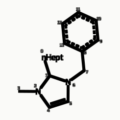 CCCCCCCC1N(C)C=CN1Cc1ccccc1